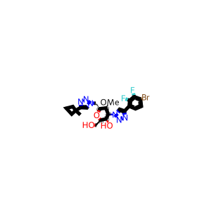 CO[C@@H]1[C@@H](n2cc(-c3ccc(Br)c(F)c3F)nn2)[C@@H](O)[C@@H](CO)O[C@@H]1Cn1cc(C2(C)CCC2)nn1